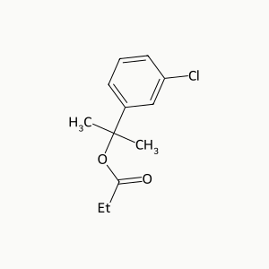 CCC(=O)OC(C)(C)c1cccc(Cl)c1